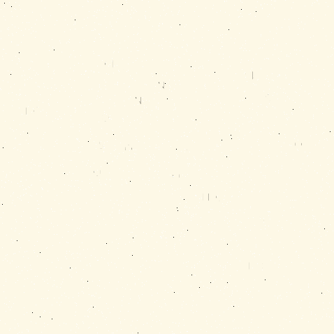 CCCS(=O)(=O)Oc1c(C(=O)c2cc(SCl)c3c(c2C)C(SCC)CCO3)cnn1CC